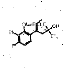 CC=C(C[C@@](O)(C(=O)OCC)C(F)(F)F)c1ccc(F)c(CC)c1OC